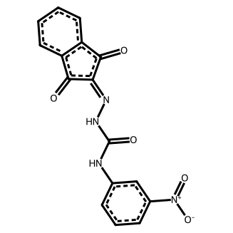 O=C(NN=c1c(=O)c2ccccc2c1=O)Nc1cccc([N+](=O)[O-])c1